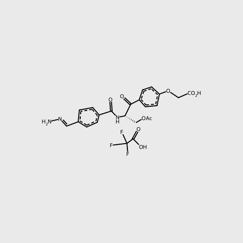 CC(=O)OC[C@H](NC(=O)c1ccc(C=NN)cc1)C(=O)c1ccc(OCC(=O)O)cc1.O=C(O)C(F)(F)F